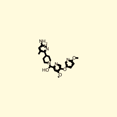 COc1ccc(Oc2cnc(C(O)N3CCC(c4nnc(N)cc4C)CC3)cc2OC)cn1